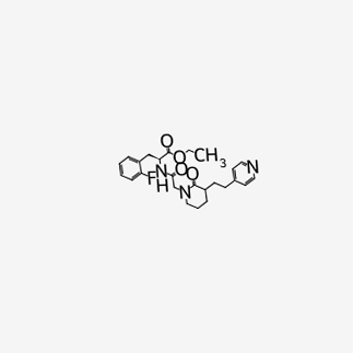 CCOC(=O)[C@H](Cc1ccccc1F)NC(=O)CN1CCCC(CCc2ccncc2)C1=O